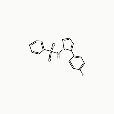 O=S(=O)(Nn1cccc1-c1ccc(F)cc1)c1ccccc1